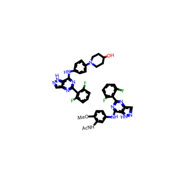 COc1ccc(Nc2nc(-c3c(F)cccc3F)nc3cn[nH]c23)cc1NC(C)=O.OC1CCN(c2ccc(Nc3nc(-c4c(F)cccc4F)nc4cn[nH]c34)cc2)CC1